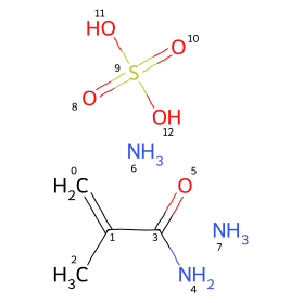 C=C(C)C(N)=O.N.N.O=S(=O)(O)O